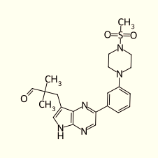 CC(C)(C=O)Cc1c[nH]c2ncc(-c3cccc(N4CCN(S(C)(=O)=O)CC4)c3)nc12